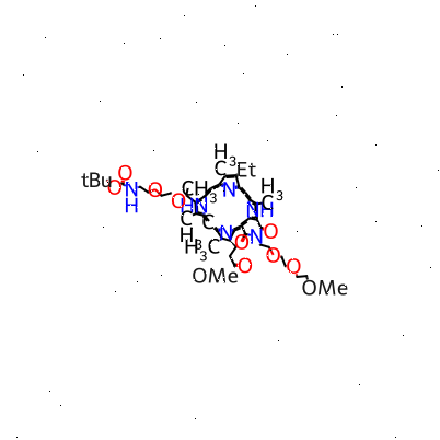 CCC1=C(C)c2cc3[nH]c(cc4nc(c5c6[nH]c(cc1n2)c(C)c6C(=O)N(CCOCCOCCOC)C5=O)[C@@H](CCC(=O)OC)[C@@H]4C)c(C)c3C(C)OCCOCCNC(=O)OC(C)(C)C